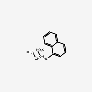 O=S(=O)(O)O.O=S(=O)(O)O.Oc1cccc2cccnc12